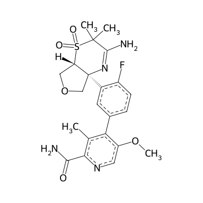 COc1cnc(C(N)=O)c(C)c1-c1ccc(F)c([C@]23COC[C@@H]2S(=O)(=O)C(C)(C)C(N)=N3)c1